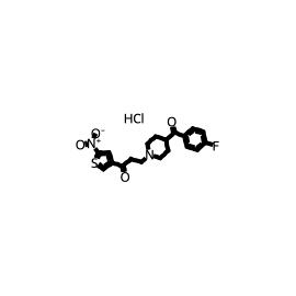 Cl.O=C(CCN1CCC(C(=O)c2ccc(F)cc2)CC1)c1csc([N+](=O)[O-])c1